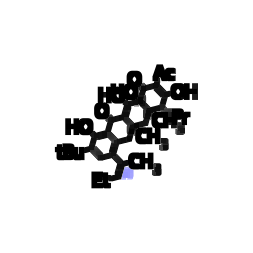 CC/C=C(/C)c1cc(C(C)(C)C)c(O)c2c1C[C@]1(C)C[C@]3(C)C(C(C)C)C(O)=C(C(C)=O)C(=O)[C@]3(O)C(O)=C1C2=O